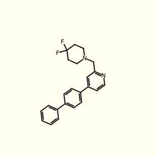 FC1(F)CCN(Cc2cc(-c3ccc(-c4ccccc4)cc3)ccn2)CC1